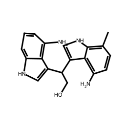 Cc1ccc(N)c2c(C(CO)c3c[nH]c4cccc(N)c34)c[nH]c12